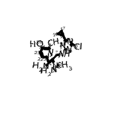 Cc1nc(/C(N)=C(\CNc2nc(Cl)nc(C3CC3)n2)N(C)N)ccc1O